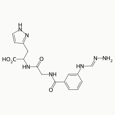 NN=CNc1cccc(C(=O)NCC(=O)NC(Cc2cc[nH]n2)C(=O)O)c1